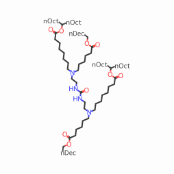 CCCCCCCCCCCOC(=O)CCCCCN(CCCCCCCC(=O)OC(CCCCCCCC)CCCCCCCC)CCNC(=O)NCCN(CCCCCCCC(=O)OC(CCCCCCCC)CCCCCCCC)CCCCCC(=O)OCCCCCCCCCCC